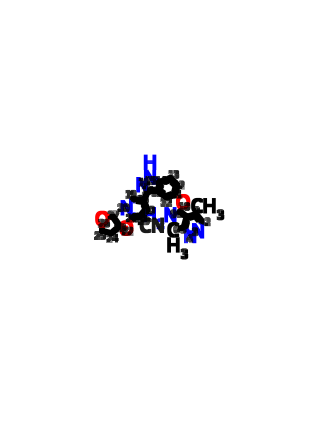 Cc1cnnc(C)c1[C@@H](N)Oc1ccc2[nH]nc(-c3cnc(O[C@H]4CCOC4)c(C#N)c3)c2c1